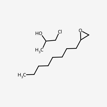 CC(O)CCl.CCCCCCCCC1CO1